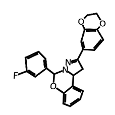 Fc1cccc(C2Oc3ccccc3C3CC(c4ccc5c(c4)OCCO5)=NN32)c1